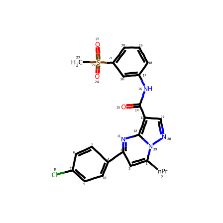 CCCc1cc(-c2ccc(Cl)cc2)nc2c(C(=O)Nc3cccc(S(C)(=O)=O)c3)cnn12